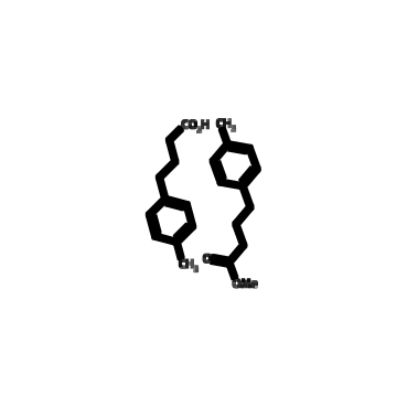 COC(=O)CCCc1ccc(C)cc1.Cc1ccc(CCCC(=O)O)cc1